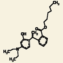 C=C(c1ccc(N(CC)CC)cc1O)c1ccccc1C(=O)OCCCCCC